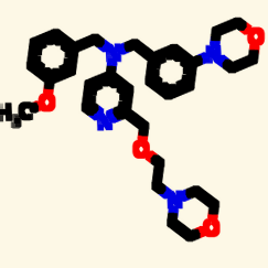 COc1cccc(CN(Cc2cccc(N3CCOCC3)c2)c2ccnc(COCCN3CCOCC3)c2)c1